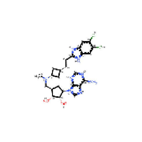 CN(C[C@H]1C[C@@H](n2cnc3c(N)ncnc32)[C@H](O)[C@@H]1O)[C@H]1C[C@@H](CCc2nc3cc(Cl)c(Cl)cc3[nH]2)C1